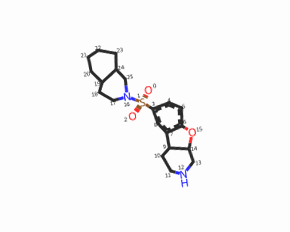 O=S(=O)(c1ccc2c(c1)C1CCNCC1O2)N1CCC2CCCCC2C1